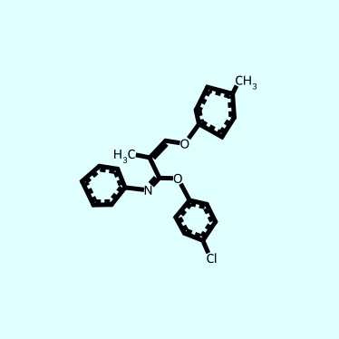 CC(=COc1ccc(C)cc1)C(=Nc1ccccc1)Oc1ccc(Cl)cc1